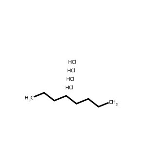 CCCCCCCC.Cl.Cl.Cl.Cl